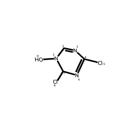 ON1C=NC(Cl)=NC1Cl